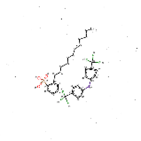 CCCCCCCCCCCCc1ccccc1S(=O)(=O)[O-].FC(F)(F)c1ccc([I+]c2ccc(C(F)(F)F)cc2)cc1